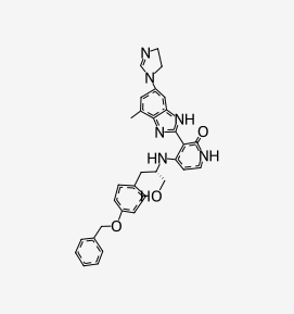 Cc1cc(N2C=NCC2)cc2[nH]c(-c3c(N[C@H](CO)Cc4ccc(OCc5ccccc5)cc4)cc[nH]c3=O)nc12